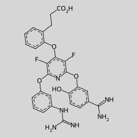 N=C(N)Nc1cccc(Oc2nc(Oc3cc(C(=N)N)ccc3O)c(F)c(Oc3ccccc3CCC(=O)O)c2F)c1